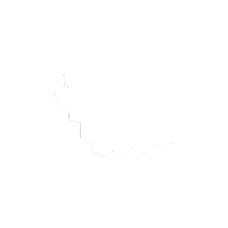 CCCCCCCC/C=C\CCCCCCC(C)N(S)CC